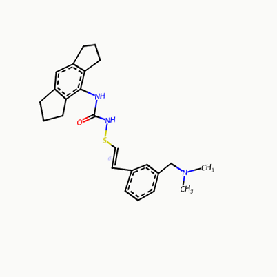 CN(C)Cc1cccc(/C=C/SNC(=O)Nc2c3c(cc4c2CCC4)CCC3)c1